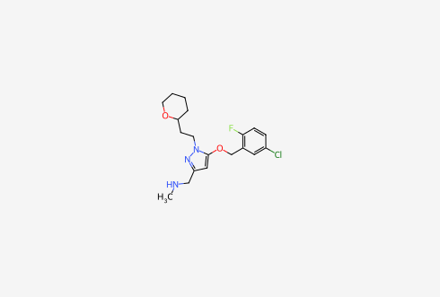 CNCc1cc(OCc2cc(Cl)ccc2F)n(CCC2CCCCO2)n1